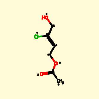 CC(=O)OCC=C(Cl)CO